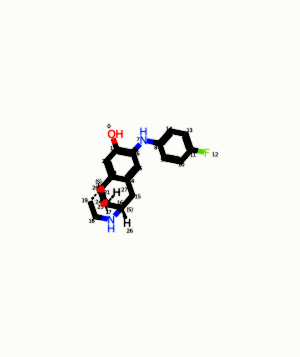 Oc1cc2c(cc1Nc1ccc(F)cc1)C[C@@H]1NCC[C@]23CCCC[C@H]13